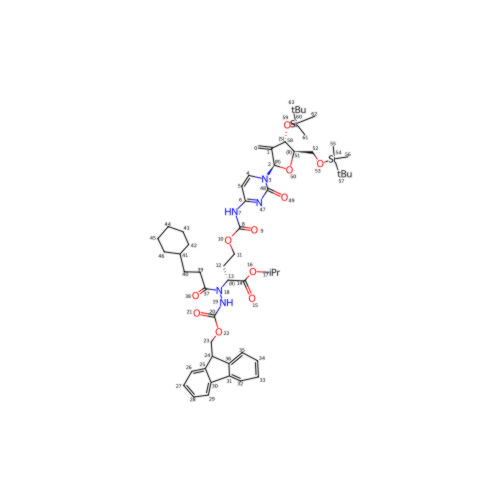 C=C1[C@H](n2ccc(NC(=O)OCC[C@H](C(=O)OC(C)C)N(NC(=O)OCC3c4ccccc4-c4ccccc43)C(=O)CCC3CCCCC3)nc2=O)O[C@H](CO[Si](C)(C)C(C)(C)C)[C@H]1O[Si](C)(C)C(C)(C)C